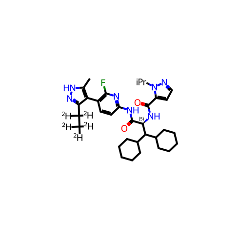 [2H]C([2H])([2H])C([2H])([2H])c1n[nH]c(C)c1-c1ccc(NC(=O)[C@@H](NC(=O)c2ccnn2C(C)C)C(C2CCCCC2)C2CCCCC2)nc1F